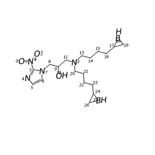 O=[N+]([O-])c1nccn1CC(O)CN(CCCCC1BC1)CCCCC1BC1